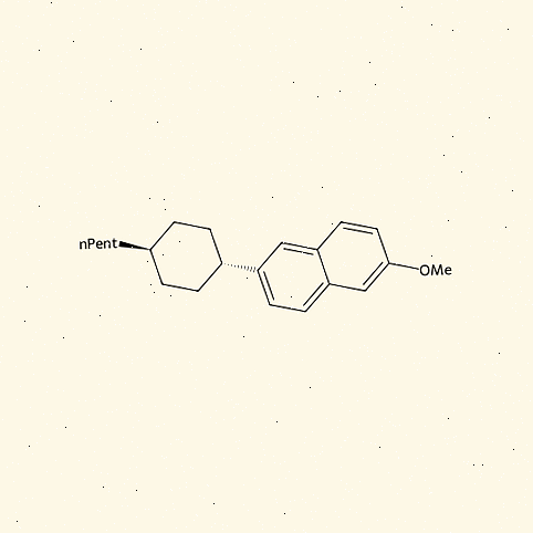 CCCCC[C@H]1CC[C@H](c2ccc3cc(OC)ccc3c2)CC1